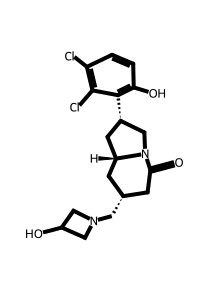 O=C1C[C@H](CN2CC(O)C2)C[C@@H]2C[C@H](c3c(O)ccc(Cl)c3Cl)CN12